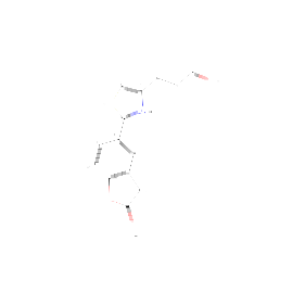 O=CCCc1csc(-c2ccc3c(c2)CC(=O)O3)n1